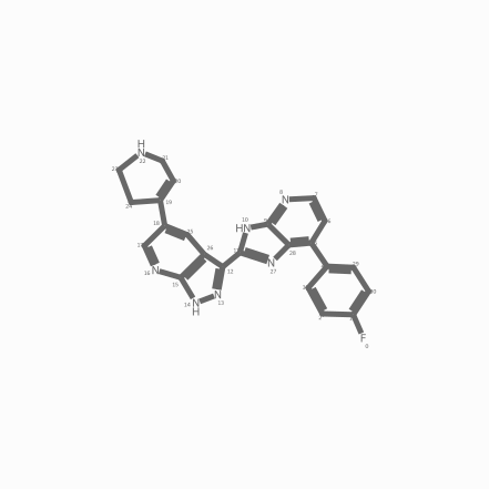 Fc1ccc(-c2ccnc3[nH]c(-c4n[nH]c5ncc(C6=CCNCC6)cc45)nc23)cc1